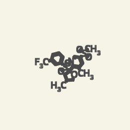 Cc1cc(S(C)(=O)=O)cnc1C1(S(=O)(=O)c2cccc(C(F)(F)F)c2)CC(C)CO1